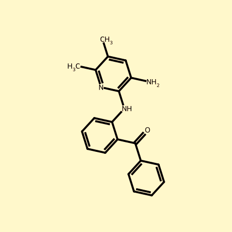 Cc1cc(N)c(Nc2ccccc2C(=O)c2ccccc2)nc1C